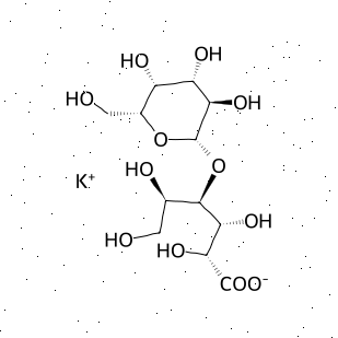 O=C([O-])[C@H](O)[C@@H](O)[C@H](O[C@@H]1O[C@H](CO)[C@H](O)[C@H](O)[C@H]1O)[C@H](O)CO.[K+]